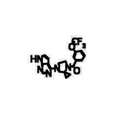 O=C(c1cccc(OC(F)(F)F)c1)N1CCN(c2ncnc3[nH]ccc23)CC12CC2